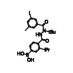 Cc1cc(I)cc(C(=O)N(NC(=O)c2ccc(B(O)O)cc2C(C)C)C(C)(C)C)c1